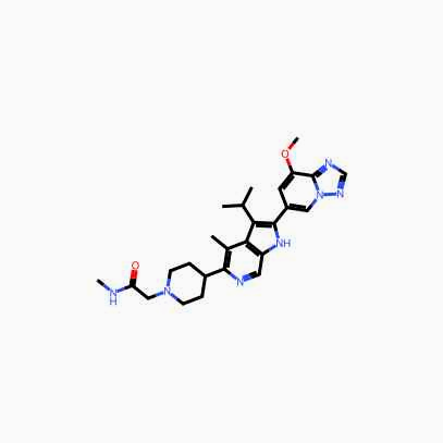 CNC(=O)CN1CCC(c2ncc3[nH]c(-c4cc(OC)c5ncnn5c4)c(C(C)C)c3c2C)CC1